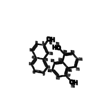 Oc1ccc2ccccc2c1.Oc1cccc2c(O)cccc12